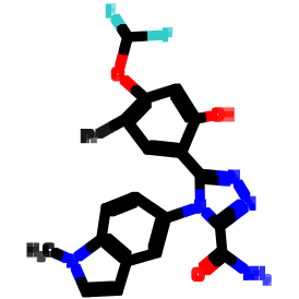 CC(C)c1cc(-c2nnc(C(N)=O)n2-c2ccc3c(ccn3C)c2)c(O)cc1OC(F)F